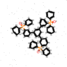 O=P(c1ccccc1)(c1ccccc1)c1cccc(-c2cc(-c3cccc(P(=O)(c4ccccc4)c4ccccc4)c3)cc(-c3cccc(P(=O)(c4ccccc4)c4ccccc4)c3)c2)c1